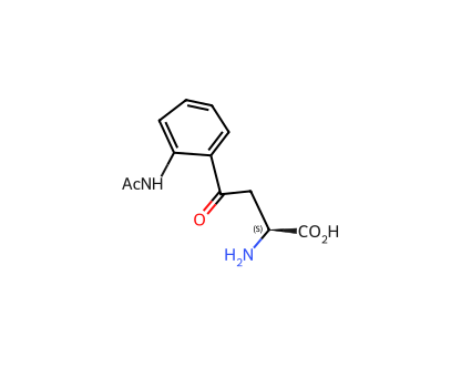 CC(=O)Nc1ccccc1C(=O)C[C@H](N)C(=O)O